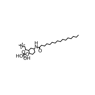 CCCCCCCCCCCCCCCC(=O)NC1CCCC(C(C[N+](C)(C)C)OP(=O)(O)O)C1